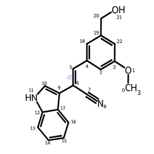 COc1cc(/C=C(\C#N)c2c[nH]c3ccccc23)cc(CO)c1